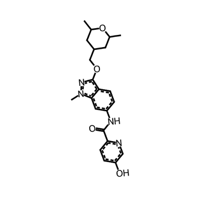 CC1CC(COc2nn(C)c3cc(NC(=O)c4ccc(O)cn4)ccc23)CC(C)O1